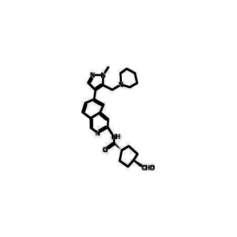 Cn1ncc(-c2ccc3cnc(NC(=O)[C@H]4CC[C@H](C=O)CC4)cc3c2)c1CN1CCCCC1